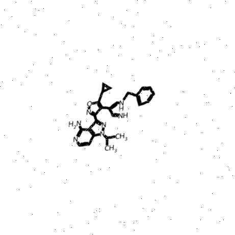 CC(C)n1nc(-c2noc(C3CC3)c2/C(C=N)=C/NCc2ccccc2)c2c(N)nccc21